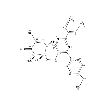 C=C/C(=C\C)c1nc(-c2ccc(CO)cc2)c2c(n1)[C@]1(C)C=C(C#N)C(=O)[C@H](C)[C@H]1CC2